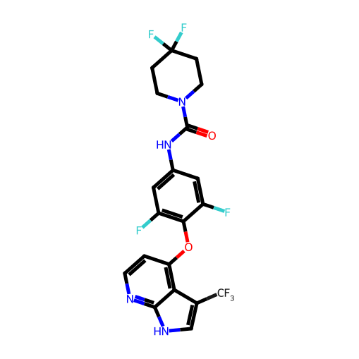 O=C(Nc1cc(F)c(Oc2ccnc3[nH]cc(C(F)(F)F)c23)c(F)c1)N1CCC(F)(F)CC1